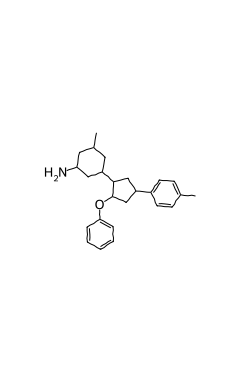 Cc1ccc(C2CC(Oc3ccccc3)C(C3CC(C)CC(N)C3)C2)cc1